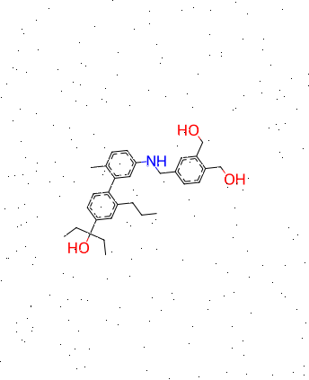 CCCc1cc(C(O)(CC)CC)ccc1-c1cc(NCc2ccc(CO)c(CO)c2)ccc1C